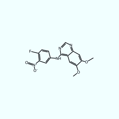 COc1cc2ncnc(Nc3ccc(F)c([N+](=O)[O-])c3)c2cc1OC